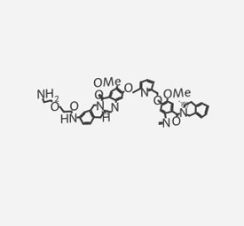 C=Nc1cc(OCc2cccc(COc3cc4c(cc3OC)C(=O)N3Cc5cc(NC(=O)CCOCCN)ccc5C[C@H]3C=N4)n2)c(OC)cc1C(=O)N1Cc2ccccc2C[C@H]1C